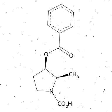 C[C@@H]1[C@H](OC(=O)c2ccccc2)CCN1C(=O)O